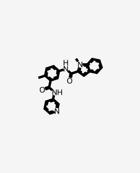 Cc1ccc(NC(=O)c2cc3ccccc3n2C)cc1C(=O)Nc1cccnc1